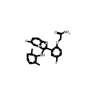 Cc1cccc(C)c1Nc1c(-c2cc(F)ccc2OCC(N)=O)nc2ccc(F)cn12